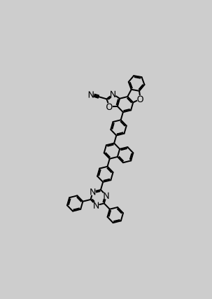 N#Cc1nc2c(o1)c(-c1ccc(-c3ccc(-c4ccc(-c5nc(-c6ccccc6)nc(-c6ccccc6)n5)cc4)c4ccccc34)cc1)cc1oc3ccccc3c12